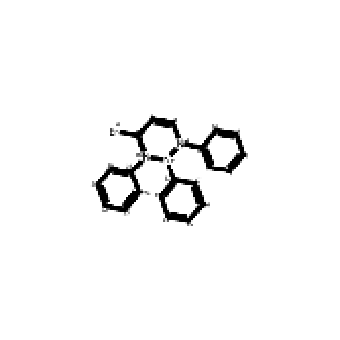 BrC1C=CN(c2ccccc2)N(c2ccccc2)N1c1ccccc1